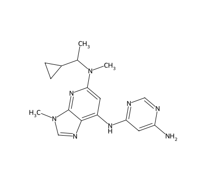 CC(C1CC1)N(C)c1cc(Nc2cc(N)ncn2)c2ncn(C)c2n1